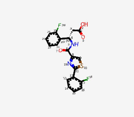 O=C(O)C[C@H](NC(=O)c1csc(-c2ccccc2F)n1)c1ccccc1F